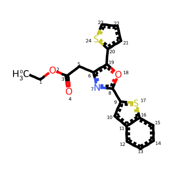 CCOC(=O)Cc1nc(-c2cc3ccccc3s2)oc1-c1cccs1